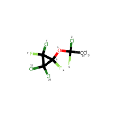 FC(Cl)(OC1(F)C(F)(Cl)C1(Cl)Cl)C(Cl)(Cl)Cl